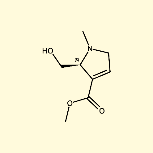 COC(=O)C1=CCN(C)[C@@H]1CO